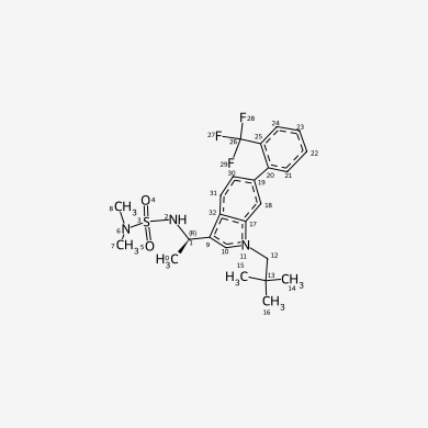 C[C@@H](NS(=O)(=O)N(C)C)c1cn(CC(C)(C)C)c2cc(-c3ccccc3C(F)(F)F)ccc12